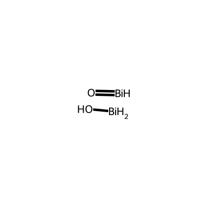 [OH][BiH2].[O]=[BiH]